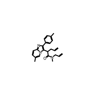 C=CCC(C(=O)N(C)CC=C)c1c(-c2ccc(C)cc2)nc2ccc(C)cn12